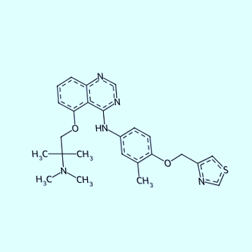 Cc1cc(Nc2ncnc3cccc(OCC(C)(C)N(C)C)c23)ccc1OCc1cscn1